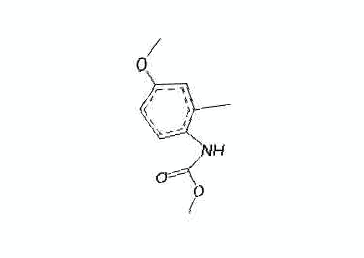 COC(=O)Nc1ccc(OC)cc1C